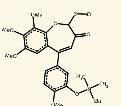 CCSC1Oc2c(cc(OC)c(OC)c2OC)C(c2ccc(OC)c(O[Si](C)(C)C(C)(C)C)c2)=CC1=O